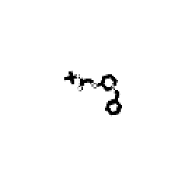 CC(C)(C)OC(=O)COC1CCCN(Cc2ccccc2)C1